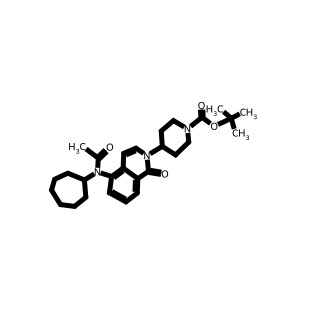 CC(=O)N(c1cccc2c(=O)n(C3CCN(C(=O)OC(C)(C)C)CC3)ccc12)C1CCCCCC1